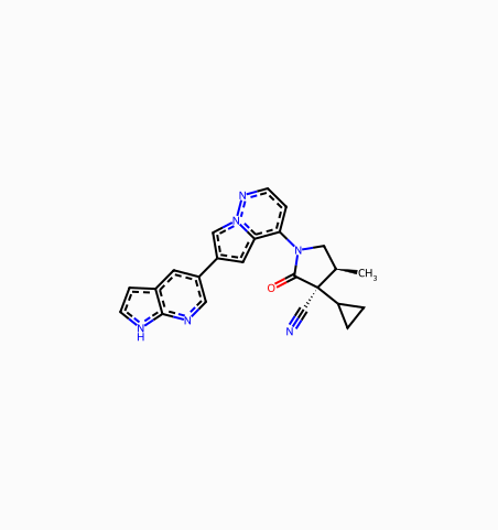 C[C@@H]1CN(c2ccnn3cc(-c4cnc5[nH]ccc5c4)cc23)C(=O)[C@]1(C#N)C1CC1